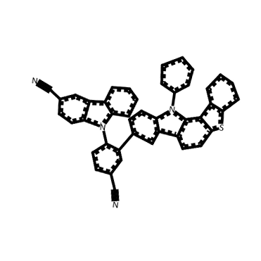 N#Cc1ccc(-n2c3ccccc3c3cc(C#N)ccc32)c(-c2ccc3c(c2)c2ccc4sc5ccccc5c4c2n3-c2ccccc2)c1